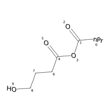 CCCC(=O)OC(=O)CCCO